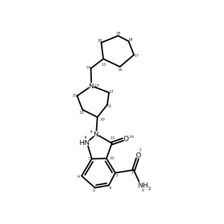 NC(=O)c1cccc2[nH]n(C3CCN(CC4CCCCC4)CC3)c(=O)c12